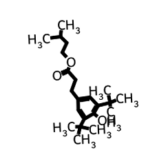 CC(C)CCOC(=O)CCc1cc(C(C)(C)C)c(O)c(C(C)(C)C)c1